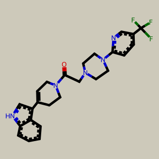 O=C(CN1CCN(c2ccc(C(F)(F)F)cn2)CC1)N1CC=C(c2c[nH]c3ccccc23)CC1